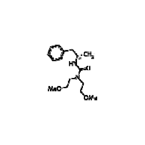 [CH2][C@@H](Cc1ccccc1)NC(=O)N(CCOC)CCOC